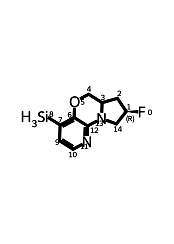 F[C@@H]1CC2COc3c([SiH3])ccnc3N2C1